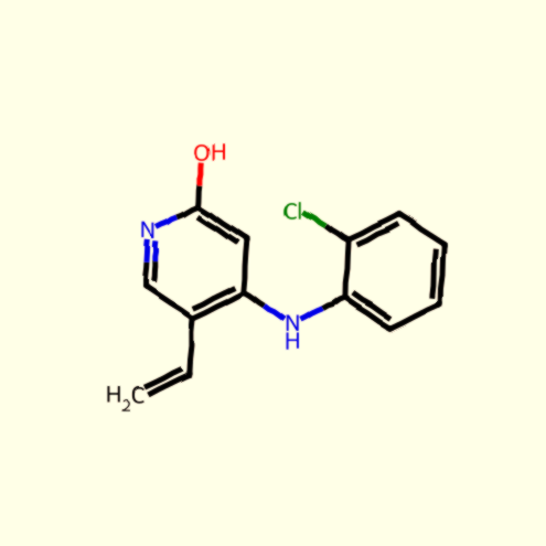 C=Cc1cnc(O)cc1Nc1ccccc1Cl